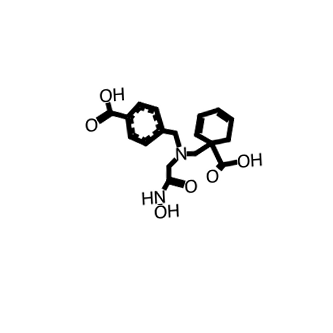 O=C(CN(Cc1ccc(C(=O)O)cc1)CC1(C(=O)O)C=CC=CC1)NO